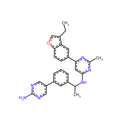 CCc1coc2ccc(-c3cc(NC(C)c4cccc(-c5cnc(N)nc5)c4)nc(C)n3)cc12